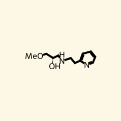 COC[C@@H](O)CNCCc1ccccn1